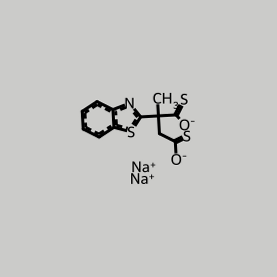 CC(CC([O-])=S)(C([O-])=S)c1nc2ccccc2s1.[Na+].[Na+]